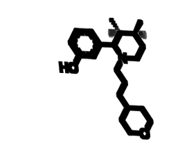 C[C@H]1CCN(CCCC2CCOCC2)C(c2cccc(O)c2)[C@@H]1C